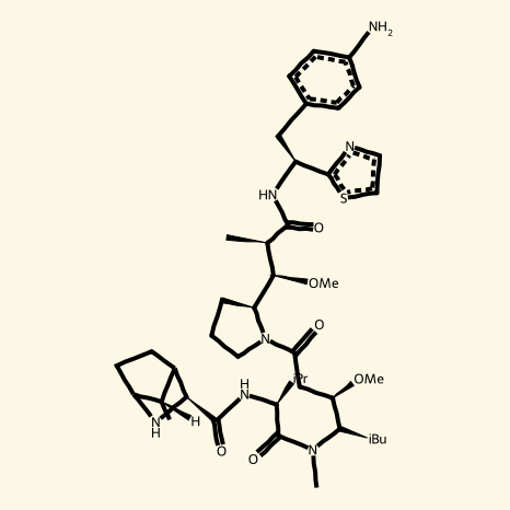 CC[C@H](C)C([C@@H](CC(=O)N1CCC[C@H]1[C@H](OC)[C@@H](C)C(=O)N[C@@H](Cc1ccc(N)cc1)c1nccs1)OC)N(C)C(=O)[C@@H](NC(=O)[C@H]1NC2CCC1[C@@H]2C)C(C)C